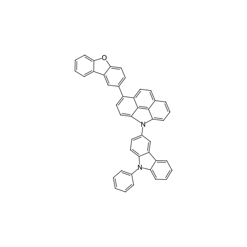 c1ccc(-n2c3ccccc3c3cc(-n4c5cccc6ccc7c(-c8ccc9oc%10ccccc%10c9c8)ccc4c7c65)ccc32)cc1